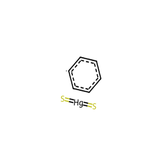 [S]=[Hg]=[S].[c]1ccccc1